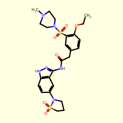 CCOc1ccc(CC(=O)Nc2n[nH]c3ccc(N4CCCS4(=O)=O)cc23)cc1S(=O)(=O)N1CCN(C)CC1